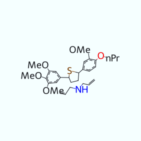 C=CCNCC=C.CCCOc1ccc(C2CCC(c3cc(OC)c(OC)c(OC)c3)S2)cc1OC